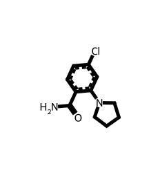 NC(=O)c1ccc(Cl)cc1N1CCCC1